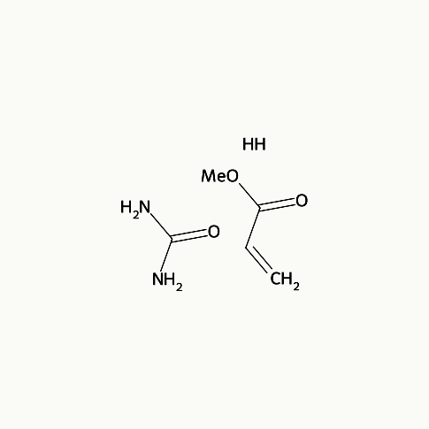 C=CC(=O)OC.NC(N)=O.[HH]